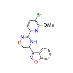 COc1nc(C2=NOCC(c3noc4ccccc34)N2)ccc1Br